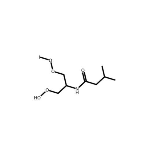 CC(C)CC(=O)NC(COO)COOI